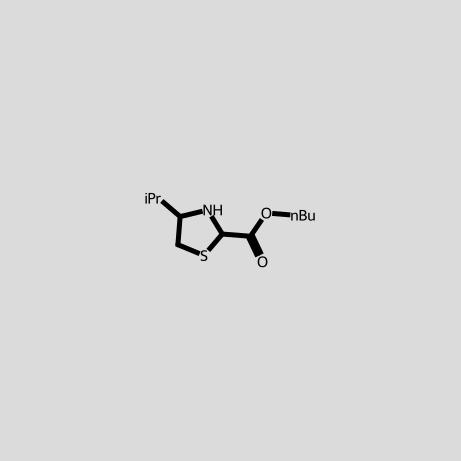 CCCCOC(=O)C1NC(C(C)C)CS1